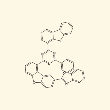 c1ccc(-c2nc(-c3cccc4c3sc3ccccc34)nc(-c3cccc4oc5ccc(-c6nc7ccccc7o6)cc5c34)n2)cc1